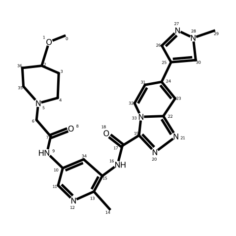 COC1CCN(CC(=O)Nc2cnc(C)c(NC(=O)c3nnc4cc(-c5cnn(C)c5)ccn34)c2)CC1